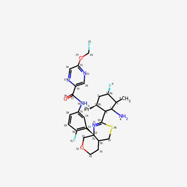 CC(C)[C@H]1C[C@@H](F)C(C)C(N)C1C1=N[C@@]2(c3cc(NC(=O)c4cnc(OCF)cn4)ccc3F)COCCC2CS1